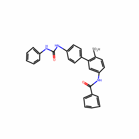 O=C(Nc1ccccc1)Nc1ccc(-c2cc(NC(=O)c3ccccc3)ccc2S(=O)(=O)O)cc1